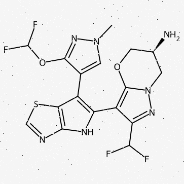 Cn1cc(-c2c(-c3c(C(F)F)nn4c3OC[C@@H](N)C4)[nH]c3ncsc23)c(OC(F)F)n1